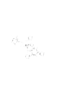 O=C(CCl)N(CCc1cccs1)Cc1ccc(Cl)cc1Cl